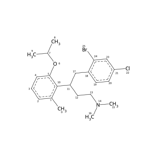 Cc1cccc(OC(C)C)c1C(CCN(C)C)Cc1ccc(Cl)cc1Br